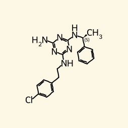 C[C@H](Nc1nc(N)nc(NCCc2ccc(Cl)cc2)n1)c1ccccc1